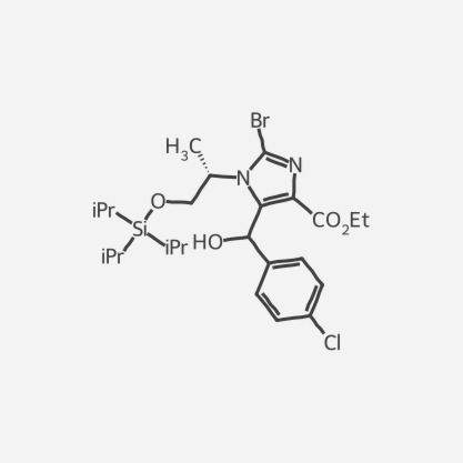 CCOC(=O)c1nc(Br)n([C@@H](C)CO[Si](C(C)C)(C(C)C)C(C)C)c1C(O)c1ccc(Cl)cc1